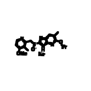 COc1ccnc(C[S+]([O-])c2nc3cc(C)c(OC(C)C)nc3[nH]2)c1C.[Na]